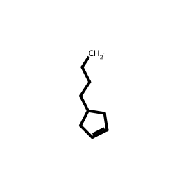 [CH2]CCCC1CC=CC1